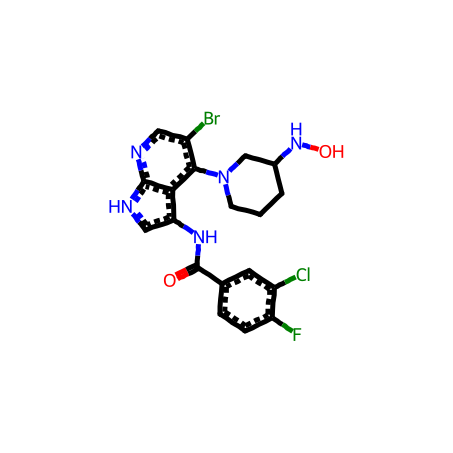 O=C(Nc1c[nH]c2ncc(Br)c(N3CCCC(NO)C3)c12)c1ccc(F)c(Cl)c1